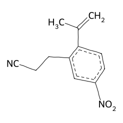 C=C(C)c1ccc([N+](=O)[O-])cc1CCC#N